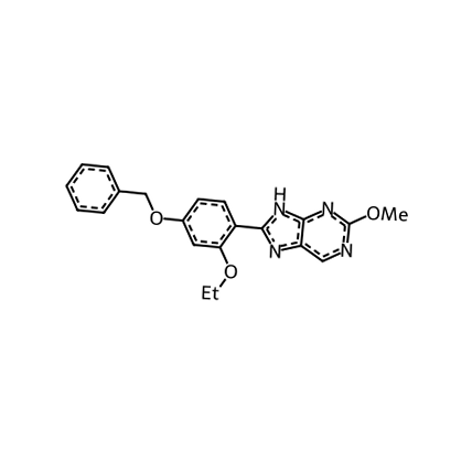 CCOc1cc(OCc2ccccc2)ccc1-c1nc2cnc(OC)nc2[nH]1